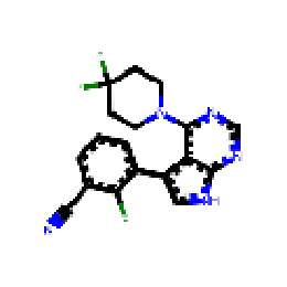 N#Cc1cccc(-c2c[nH]c3ncnc(N4CCC(F)(F)CC4)c23)c1F